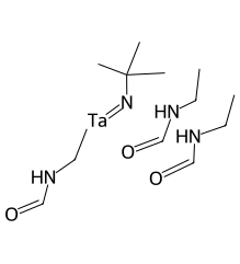 CC(C)(C)[N]=[Ta].CCNC=O.CCNC=O.CCNC=O